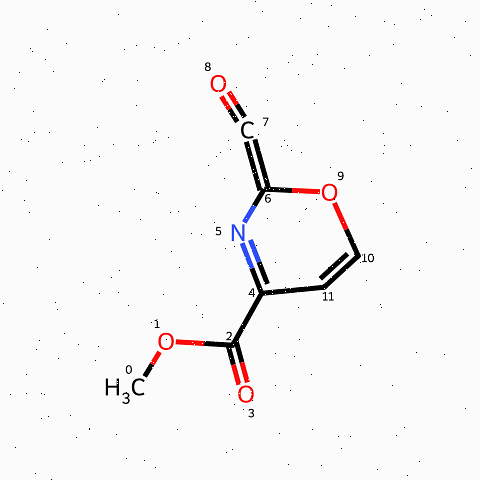 COC(=O)C1=NC(=C=O)OC=C1